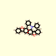 c1ccc(N(c2ccccc2-c2cccc3c2oc2ccccc23)c2cccc3oc4ccccc4c23)cc1